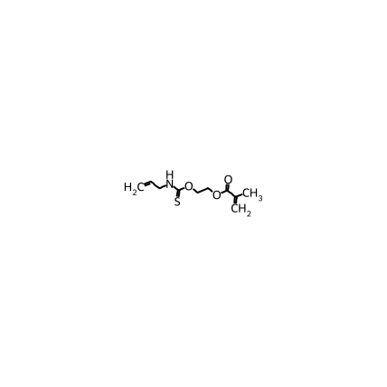 C=CCNC(=S)OCCOC(=O)C(=C)C